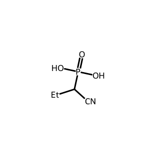 CCC(C#N)P(=O)(O)O